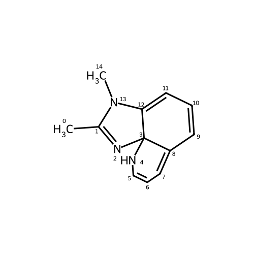 CC1=NC23NC=CC=C2C=CC=C3N1C